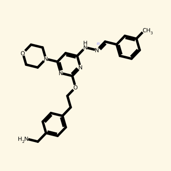 Cc1cccc(/C=N/Nc2cc(N3CCOCC3)nc(OCCc3ccc(CN)cc3)n2)c1